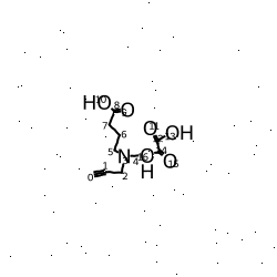 C#CCN(C)CCCC(=O)O.O=C(O)C(=O)O